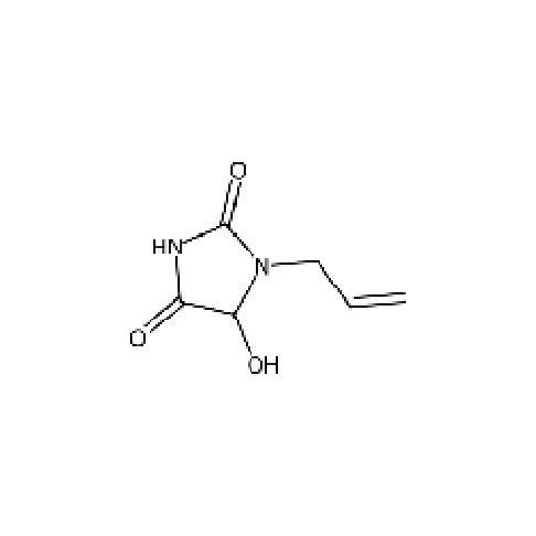 C=CCN1C(=O)NC(=O)C1O